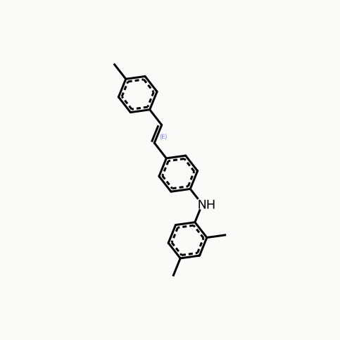 Cc1ccc(/C=C/c2ccc(Nc3ccc(C)cc3C)cc2)cc1